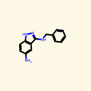 Nc1ccc2[nH]nc(NCc3ccccc3)c2c1